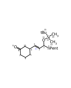 CCCCCC(/C=C/C1CCCC(=O)C1)O[Si](C)(C)C(C)(C)C